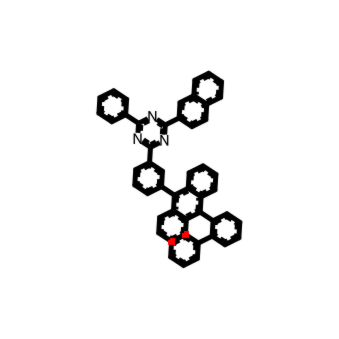 c1ccc(-c2nc(-c3cccc(-c4c5ccccc5c(-c5ccccc5-c5ccccc5)c5ccccc45)c3)nc(-c3ccc4ccccc4c3)n2)cc1